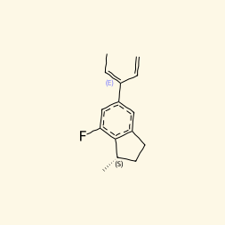 C=C/C(=C\C)c1cc(F)c2c(c1)CC[C@@H]2C